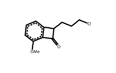 COc1cccc2c1C(=O)C2CCCCl